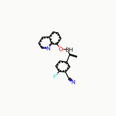 C=C(BOc1cccc2cccnc12)c1ccc(F)c(C#N)c1